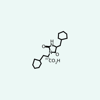 O=C(O)[C@H](CC1CCCCC1)N1C(=O)NC(CC2CCCCC2)C1=O